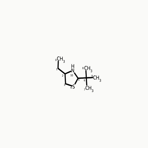 CCC1CSC(C(C)(C)C)N1